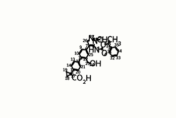 CC(OC(=O)Nc1c(-c2ccc(-c3ccc(C4(C(=O)O)CC4)cc3)c(CO)c2)cnn1C)c1ccccc1